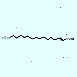 [CH2]CCCC/C=C/CCCCCCCCCCCCCCCCCCCCC[CH2]